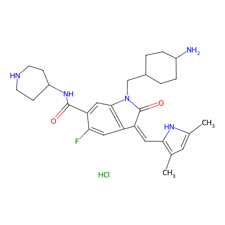 Cc1cc(C)c(/C=C2\C(=O)N(CC3CCC(N)CC3)c3cc(C(=O)NC4CCNCC4)c(F)cc32)[nH]1.Cl